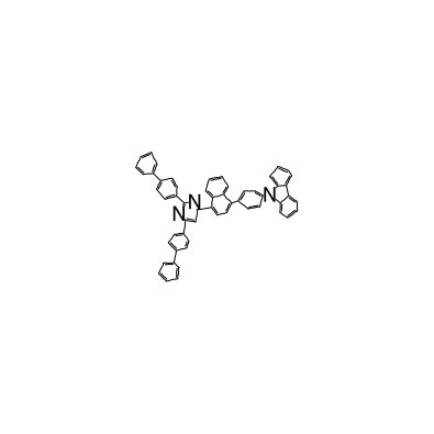 c1ccc(-c2ccc(-c3cc(-c4ccc(-c5ccc(-n6c7ccccc7c7ccccc76)cc5)c5ccccc45)nc(-c4ccc(-c5ccccc5)cc4)n3)cc2)cc1